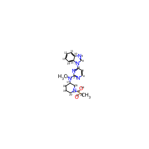 CN(c1nccc(-n2cnc3ccccc32)n1)C1CCCN(S(C)(=O)=O)C1